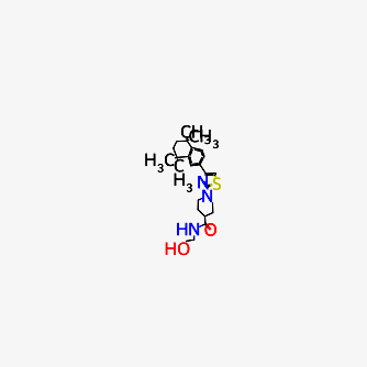 CC1(C)CCC(C)(C)c2cc(-c3csc(N4CCC(C(=O)NCCO)CC4)n3)ccc21